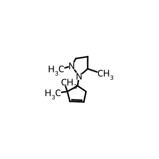 CC1CCN(C)N1C1CC=CC1(C)C